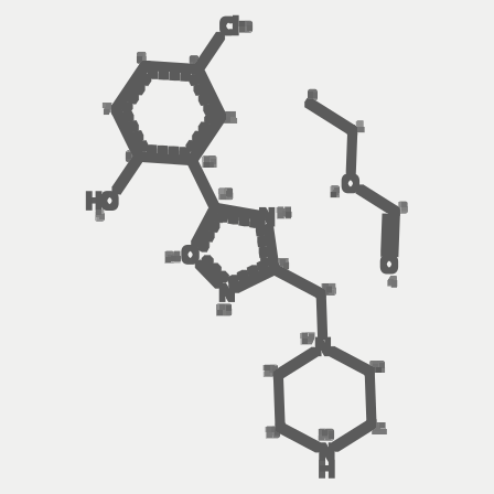 CCOC=O.Oc1ccc(Cl)cc1-c1nc(CN2CCNCC2)no1